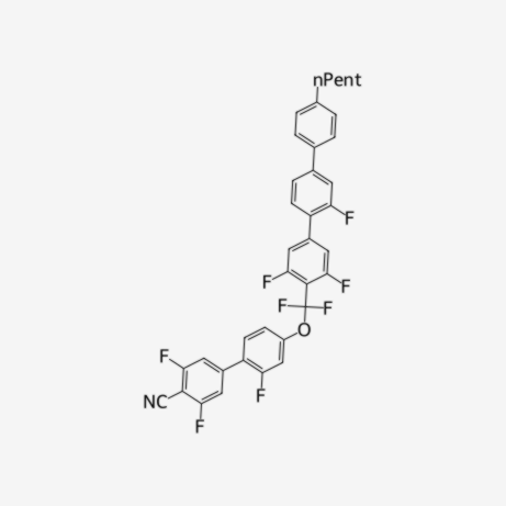 CCCCCc1ccc(-c2ccc(-c3cc(F)c(C(F)(F)Oc4ccc(-c5cc(F)c(C#N)c(F)c5)c(F)c4)c(F)c3)c(F)c2)cc1